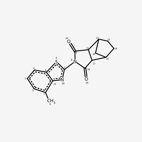 Cc1cccc2sc(N3C(=O)C4C5CCC(C5)C4C3=O)nc12